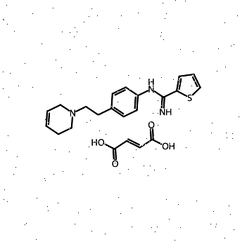 N=C(Nc1ccc(CCN2CC=CCC2)cc1)c1cccs1.O=C(O)/C=C/C(=O)O